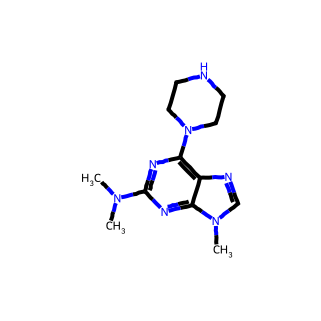 CN(C)c1nc(N2CCNCC2)c2ncn(C)c2n1